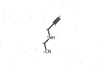 C#CCNCC#N